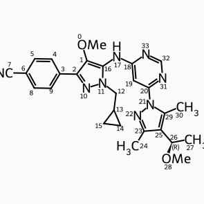 COc1c(-c2ccc(C#N)cc2)nn(CC2CC2)c1Nc1cc(-n2nc(C)c([C@@H](C)OC)c2C)ncn1